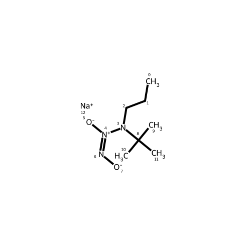 CCCN(/[N+]([O-])=N\[O-])C(C)(C)C.[Na+]